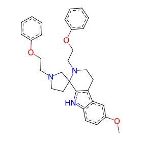 COc1ccc2[nH]c3c(c2c1)CCN(CCOc1ccccc1)C31CCN(CCOc2ccccc2)C1